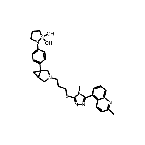 Cc1ccc2c(-c3nnc(SCCCN4CC5CC5(c5ccc(N6CCCS6(O)O)cc5)C4)n3C)cccc2n1